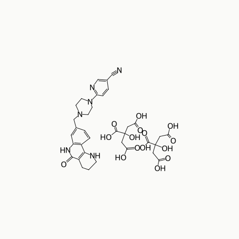 N#Cc1ccc(N2CCN(Cc3ccc4c5c(c(=O)[nH]c4c3)CCCN5)CC2)nc1.O=C(O)CC(O)(CC(=O)O)C(=O)O.O=C(O)CC(O)(CC(=O)O)C(=O)O